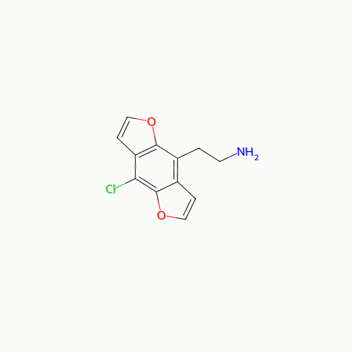 NCCc1c2ccoc2c(Cl)c2ccoc12